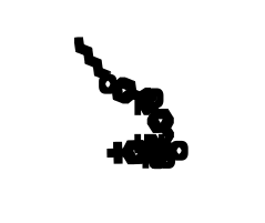 CCCCCCCOc1ccc(-c2coc(-c3ccc(C[C@H](NC(=O)C4C=CC(C(C)(C)C)=CC4)C(=O)O)cc3)n2)cc1